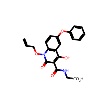 C=CCOn1c(=O)c(C(=O)NCC(=O)O)c(O)c2cc(Oc3ccccc3)ccc21